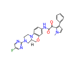 Cn1ccc(-c2ccccc2)c1C(=O)C(=O)Nc1ccc2c(c1)OC[C@H]1CN(c3ncc(F)cn3)CCN21